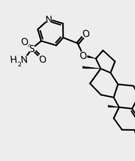 C[C@]12CCC(=O)C=C1CCC1C2CC[C@@]2(C)C1CC[C@@H]2OC(=O)c1cncc(S(N)(=O)=O)c1